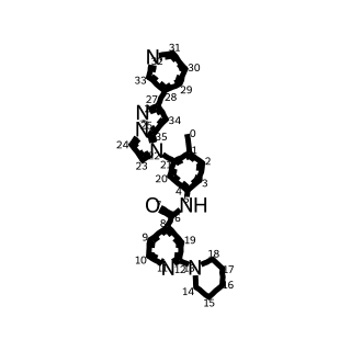 Cc1ccc(NC(=O)c2ccnc(N3CCCCC3)c2)cc1-n1ccn2nc(-c3cccnc3)cc12